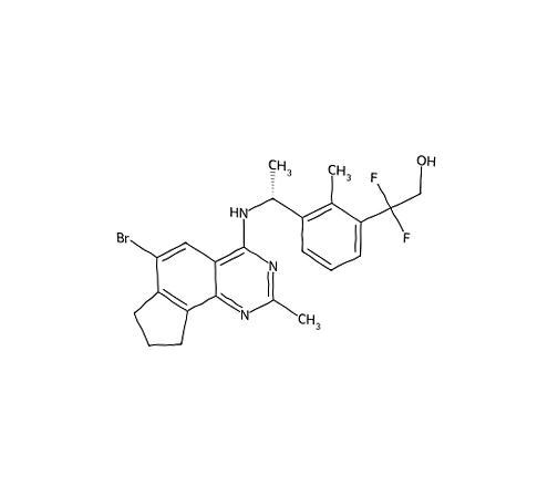 Cc1nc(N[C@H](C)c2cccc(C(F)(F)CO)c2C)c2cc(Br)c3c(c2n1)CCC3